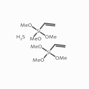 C=C[Si](OC)(OC)OC.C=C[Si](OC)(OC)OC.S